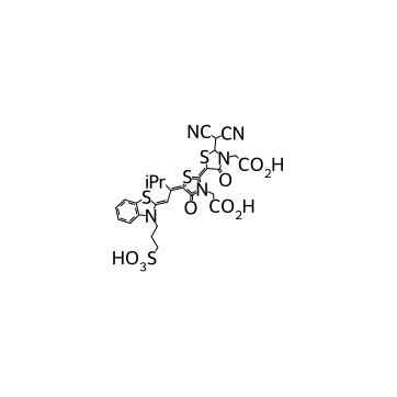 CC(C)C(/C=C1\Sc2ccccc2N1CCCS(=O)(=O)O)=c1\s/c(=C2\SC(C(C#N)C#N)N(CC(=O)O)C2=O)n(CC(=O)O)c1=O